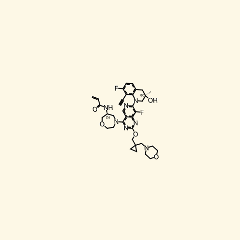 C#Cc1c(F)ccc2c1N(c1ncc3c(N4CCOC[C@@H](NC(=O)C=C)C4)nc(OCC4(CN5CCOCC5)CC4)nc3c1F)C[C@](C)(O)C2